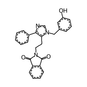 O=C1c2ccccc2C(=O)N1CCc1c(-c2ccccc2)ncn1Cc1cccc(O)c1